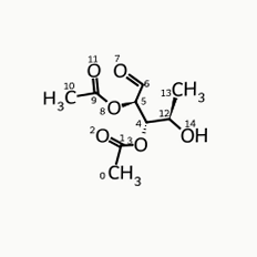 CC(=O)O[C@H]([C@H](C=O)OC(C)=O)[C@@H](C)O